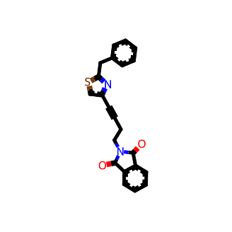 O=C1c2ccccc2C(=O)N1CCC#Cc1csc(Cc2ccccc2)n1